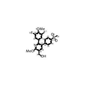 COc1nc(-c2cc(F)c(OC)c(F)c2)c(-c2ccc(S(C)(=O)=O)cc2)cc1CO